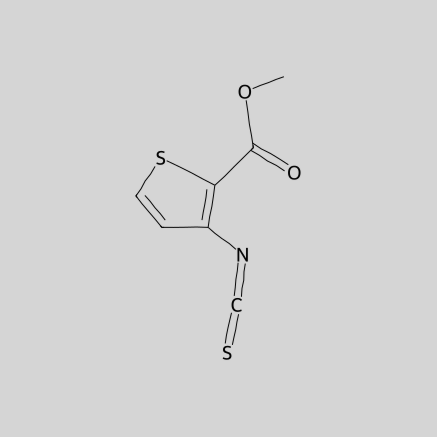 COC(=O)c1sccc1N=C=S